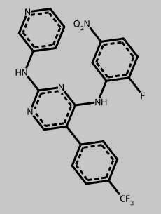 O=[N+]([O-])c1ccc(F)c(Nc2nc(Nc3cccnc3)ncc2-c2ccc(C(F)(F)F)cc2)c1